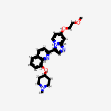 COCCOc1ccn2c(-c3ccc4cccc(OC5CCN(C)CC5)c4n3)cnc2c1